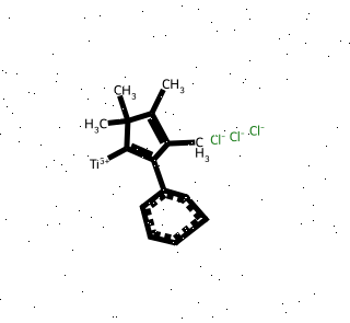 CC1=C(C)C(C)(C)[C]([Ti+3])=C1c1ccccc1.[Cl-].[Cl-].[Cl-]